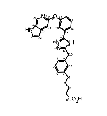 O=C(O)CCCCc1cccc(Cc2nnc(-c3cccc(Oc4cc5cc[nH]c5cn4)c3)[nH]2)c1